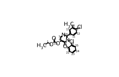 CCOC(=O)Oc1cnc(-c2ccc(Cl)c(C)c2)nc1Oc1ccccc1Cl